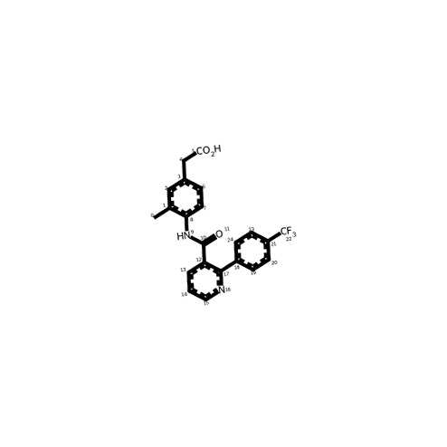 Cc1cc(CC(=O)O)ccc1NC(=O)c1cccnc1-c1ccc(C(F)(F)F)cc1